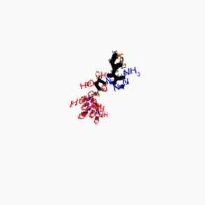 Nc1ncnc2c1c(-c1ccsc1)cn2[C@@H]1O[C@H](COP(=O)(O)OP(=O)(O)OP(=O)(O)O)C(O)[C@@H]1O